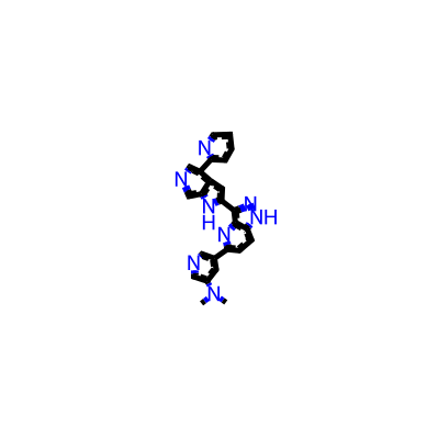 CN(C)c1cncc(-c2ccc3[nH]nc(-c4cc5c(-c6ccccn6)cncc5[nH]4)c3n2)c1